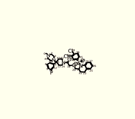 CN1CCN(C2(c3cccc(F)c3)CCN(C(=O)COCC3CCc4ccccc4N3S(=O)(=O)c3ccc(Cl)c(Cl)c3)CC2)CC1